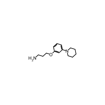 NCCCOc1cccc(N2CCCCC2)c1